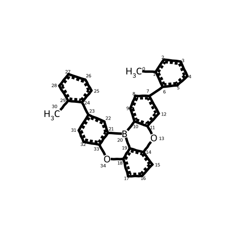 Cc1ccccc1-c1ccc2c(c1)Oc1cccc3c1B2c1cc(-c2ccccc2C)ccc1O3